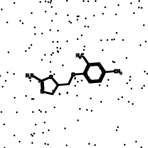 Cc1ccc(OCC2CN=C(N)O2)c(C)c1